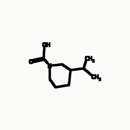 CC(C)C1CCCN(C(=O)O)C1